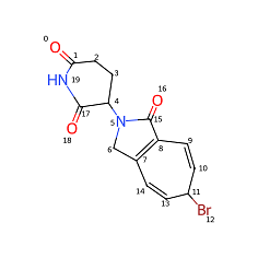 O=C1CCC(N2CC3=C(C=CC(Br)C=C3)C2=O)C(=O)N1